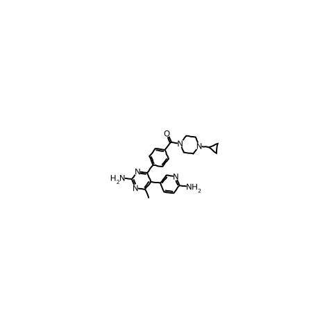 Cc1nc(N)nc(-c2ccc(C(=O)N3CCN(C4CC4)CC3)cc2)c1-c1ccc(N)nc1